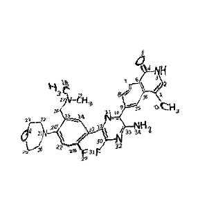 Cc1c[nH]c(=O)c2ccc(-c3nc(-c4cc(CN(C)C)c(N5CCOCC5)cc4F)c(F)nc3N)cc12